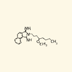 CCCCC(CCCN1C(=N)c2ccc3ccccc3c2C1=N)OC